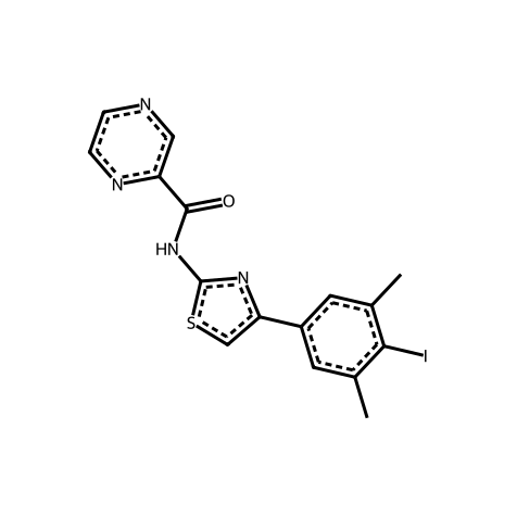 Cc1cc(-c2csc(NC(=O)c3cnccn3)n2)cc(C)c1I